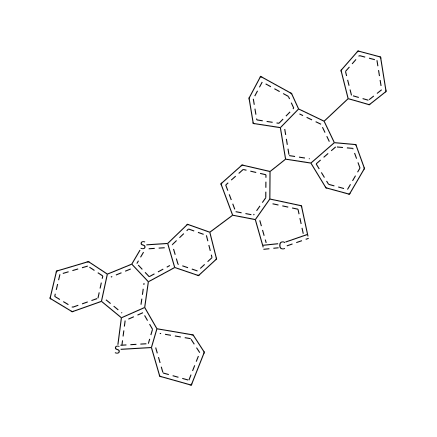 c1ccc(-c2c3ccccc3c(-c3ccc(-c4ccc5c(c4)sc4c6ccccc6c6sc7ccccc7c6c54)c4ccccc34)c3ccccc23)cc1